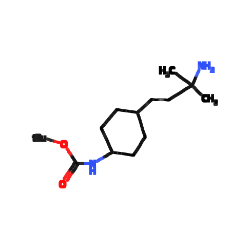 CC(C)(N)CCC1CCC(NC(=O)OC(C)(C)C)CC1